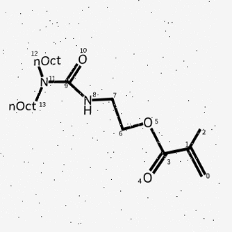 C=C(C)C(=O)OCCNC(=O)N(CCCCCCCC)CCCCCCCC